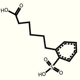 O=C(O)CCCCCc1ccccc1S(=O)(=O)O